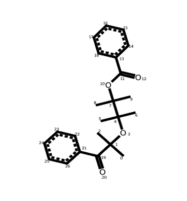 CC(C)(OC(C)(C)C(C)(C)OC(=O)c1ccccc1)C(=O)c1ccccc1